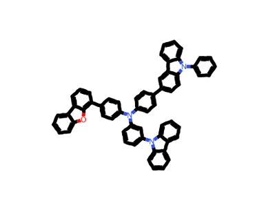 c1ccc(-n2c3ccccc3c3cc(-c4ccc(N(c5ccc(-c6cccc7c6oc6ccccc67)cc5)c5cccc(-n6c7ccccc7c7ccccc76)c5)cc4)ccc32)cc1